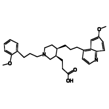 COc1ccc2nccc(CCC[C@@H]3CCN(CCCc4ccccc4OC)C[C@@H]3CCC(=O)O)c2c1